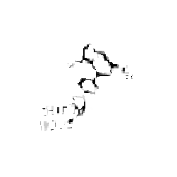 CCOc1cc(-c2ccc(N3C[C@@]4(C(C)(C)C)C[C@H]3CN4C(=O)O)nc2)c2c(C#N)cnn2c1